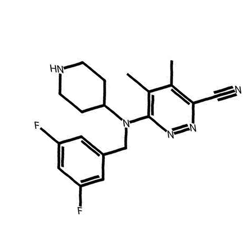 Cc1c(C#N)nnc(N(Cc2cc(F)cc(F)c2)C2CCNCC2)c1C